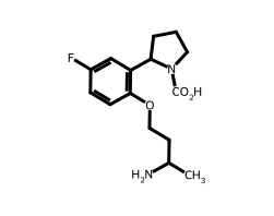 CC(N)CCOc1ccc(F)cc1C1CCCN1C(=O)O